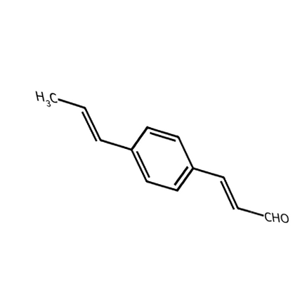 CC=Cc1ccc(C=CC=O)cc1